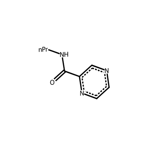 CCCNC(=O)c1cnccn1